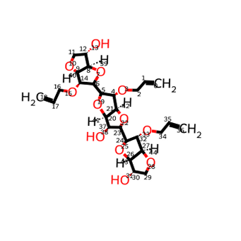 C=CCO[C@@H]1C(C2O[C@H]3[C@H](OC[C@@H]3O)[C@@H]2OCC=C)O[C@H]2[C@@H]1OC(C1O[C@H]3[C@H](OC[C@@H]3O)[C@H]1OCC=C)[C@H]2O